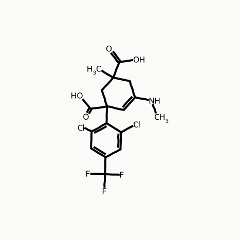 CNC1=CC(C(=O)O)(c2c(Cl)cc(C(F)(F)F)cc2Cl)CC(C)(C(=O)O)C1